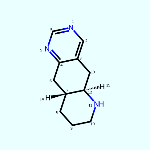 c1ncc2c(n1)C[C@H]1CCCN[C@@H]1C2